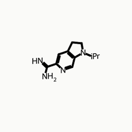 CC(C)N1CCc2cc(C(=N)N)ncc21